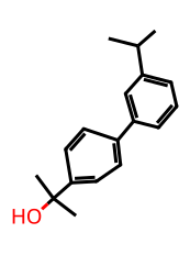 CC(C)c1cccc(-c2ccc(C(C)(C)O)cc2)c1